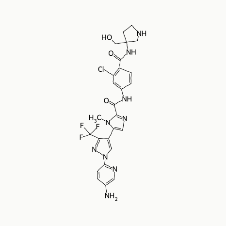 Cn1c(-c2cn(-c3ccc(N)cn3)nc2C(F)(F)F)cnc1C(=O)Nc1ccc(C(=O)NC2(CO)CCNC2)c(Cl)c1